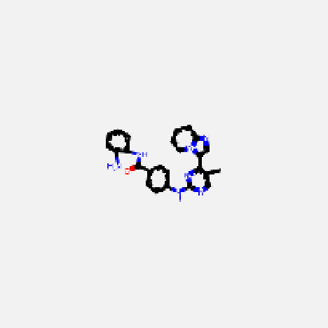 Cc1cnc(Nc2ccc(C(=O)Nc3ccccc3N)cc2)nc1-c1cnc2ccccn12